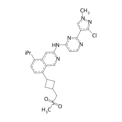 CC(C)c1ccc(C2CC(CS(C)(=O)=O)C2)c2cnc(Nc3ccnc(-c4cn(C)nc4Cl)n3)cc12